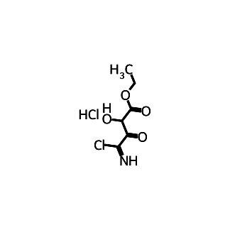 CCOC(=O)C(O)C(=O)C(=N)Cl.Cl